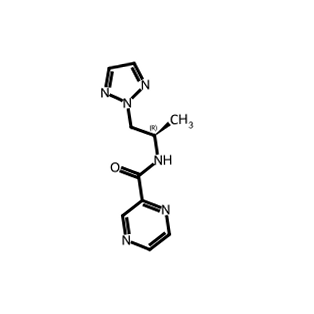 C[C@H](Cn1nccn1)NC(=O)c1cnccn1